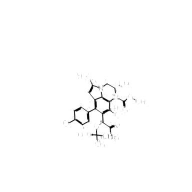 COC(=O)N1c2c(C)c([C@H](OC(C)(C)C)C(=O)O)c(-c3ccc(Cl)cc3)c3cc(C)n(c23)C[C@@H]1C